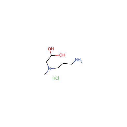 CN(CCCN)CC(O)O.Cl